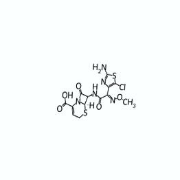 CO/N=C(/C(=O)N[C@@H]1C(=O)N2C(C(=O)O)=CCS[C@H]12)c1nc(N)sc1Cl